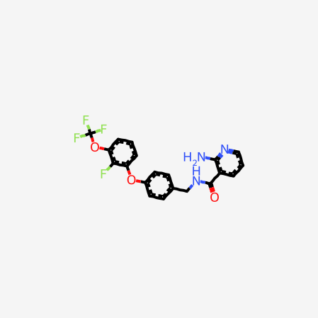 Nc1ncccc1C(=O)NCc1ccc(Oc2cccc(OC(F)(F)F)c2F)cc1